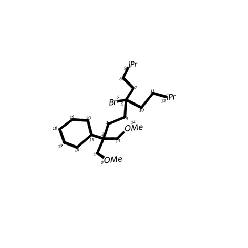 COCC(CCC(Br)(CCC(C)C)CCC(C)C)(COC)C1CCCCC1